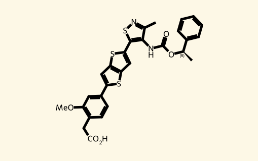 COc1cc(-c2cc3sc(-c4snc(C)c4NC(=O)O[C@H](C)c4ccccc4)cc3s2)ccc1CC(=O)O